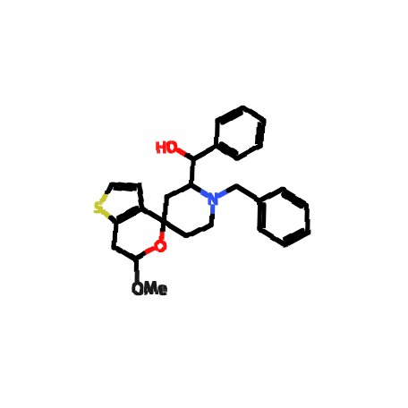 COC1Cc2sccc2C2(CCN(Cc3ccccc3)C(C(O)c3ccccc3)C2)O1